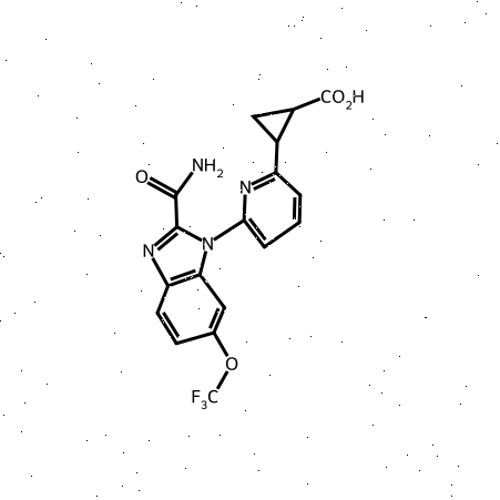 NC(=O)c1nc2ccc(OC(F)(F)F)cc2n1-c1cccc(C2CC2C(=O)O)n1